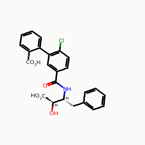 O=C(N[C@H](Cc1ccccc1)[C@@H](O)C(=O)O)c1ccc(Cl)c(-c2ccccc2C(=O)O)c1